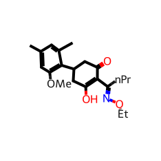 CCC/C(=N\OCC)C1=C(O)CC(c2c(C)cc(C)cc2OC)CC1=O